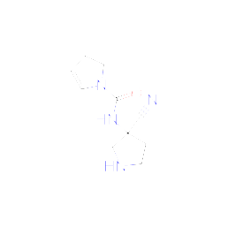 N#CC1(NC(=O)N2C=CCC2)CCNC1